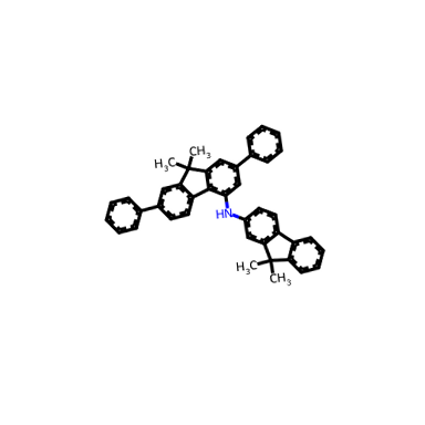 CC1(C)c2ccccc2-c2ccc(Nc3cc(-c4ccccc4)cc4c3-c3ccc(-c5ccccc5)cc3C4(C)C)cc21